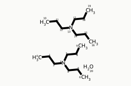 CCCN(CCC)CCC.CCCN(CCC)CCC.O